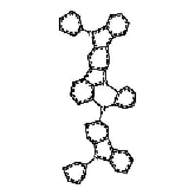 c1ccc(-n2c3ccccc3c3cc(N4c5ccccc5-n5c6cc7c8ccccc8n(-c8ccccc8)c7cc6c6cccc4c65)ccc32)cc1